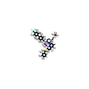 [2H]c1c([2H])c(F)c(F)c(C([2H])([2H])Sc2c([2H])c(=O)c3c([2H])c(C)c([2H])c([2H])c3n2C([2H])([2H])C(=O)N(C2CCN(CCOC([2H])([2H])[2H])CC2)C([2H])([2H])c2c([2H])c([2H])c(-c3c([2H])c([2H])c(C(F)(F)F)c([2H])c3[2H])c([2H])c2[2H])c1[2H]